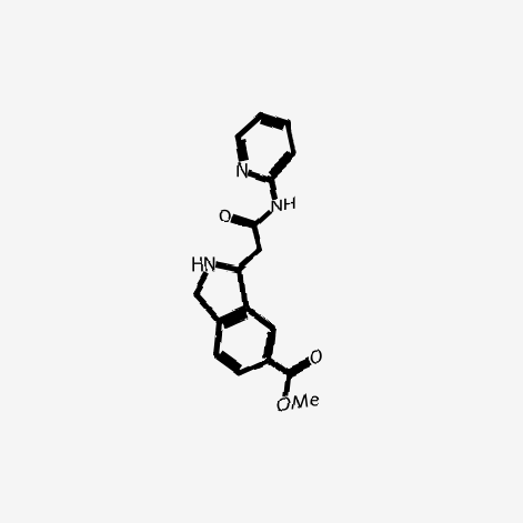 COC(=O)c1ccc2c(c1)C(CC(=O)Nc1ccccn1)NC2